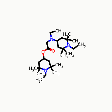 CCN(CC(=O)OC1CC(C)(C)N(CC)C(C)(C)C1)C1CC(C)(C)N(CC)C(C)(C)C1